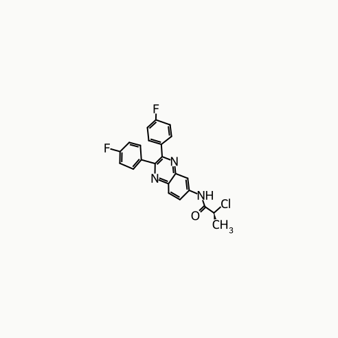 C[C@H](Cl)C(=O)Nc1ccc2nc(-c3ccc(F)cc3)c(-c3ccc(F)cc3)nc2c1